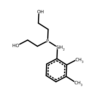 Cc1cccc([SiH2]P(CCO)CCO)c1C